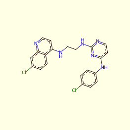 Clc1ccc(Nc2ccnc(NCCNc3ccnc4cc(Cl)ccc34)n2)cc1